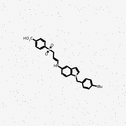 CC(C)(C)c1ccc(Cn2ccc3cc(NC=CCS(=O)(=O)c4ccc(C(=O)O)cc4)ccc32)cc1